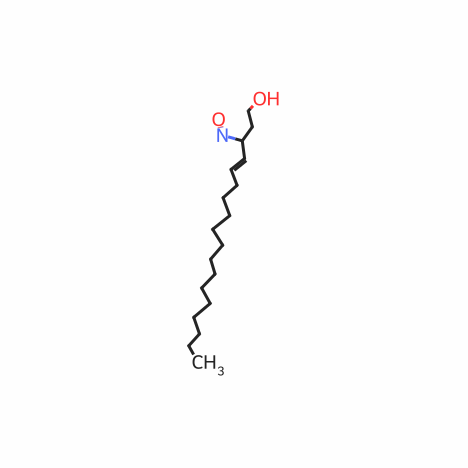 CCCCCCCCCCCCC/C=C/C(CCO)N=O